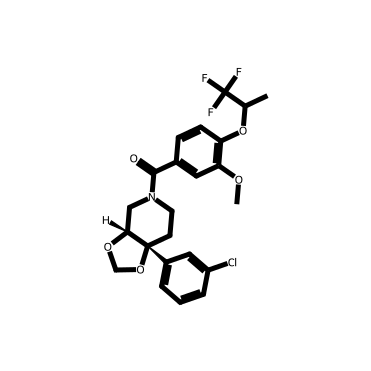 COc1cc(C(=O)N2CC[C@]3(c4cccc(Cl)c4)OCO[C@@H]3C2)ccc1OC(C)C(F)(F)F